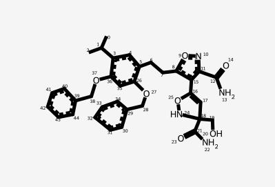 CC(C)c1cc(CCc2onc(C(N)=O)c2C2=CC(CO)(C(N)=O)NO2)c(OCc2ccccc2)cc1OCc1ccccc1